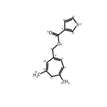 CC1=CC=C(COC(=O)c2ccsc2)C=C(C)C1